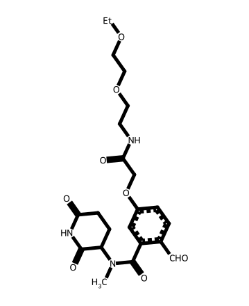 CCOCCOCCNC(=O)COc1ccc(C=O)c(C(=O)N(C)C2CCC(=O)NC2=O)c1